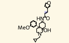 COc1cccc([C@@]23CCN(CC4CC4)C[C@@]2(O)CC[C@@H](NC(=O)/C=C/c2ccoc2)C3)c1